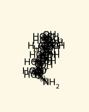 CC(=O)NC1C(O[C@@H]2OC(CO)[C@H](O)C(O)[C@@H]2O[C@@H]2OC(C)[C@@H](O)C(O)C2O)[C@@H](O)C(CO)O[C@H]1OC1C(O)[C@@H](O[C@H]2C(CO)O[C@@H](OCC3(C[N+](=O)[O-])CC(O)C(O)[C@H](OCCCCCN)O3)C(O)C2O)OC(CO)[C@@H]1O